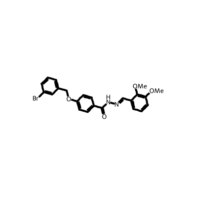 COc1cccc(/C=N/NC(=O)c2ccc(OCc3cccc(Br)c3)cc2)c1OC